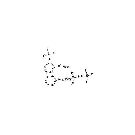 CCCCCC[n+]1ccccc1.CCCCCC[n+]1ccccc1.F[B-](F)(F)F.F[B-](F)(F)F.F[B-](F)(F)F